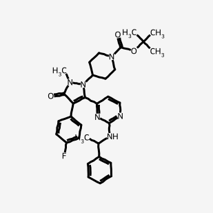 CC(Nc1nccc(-c2c(-c3ccc(F)cc3)c(=O)n(C)n2C2CCN(C(=O)OC(C)(C)C)CC2)n1)c1ccccc1